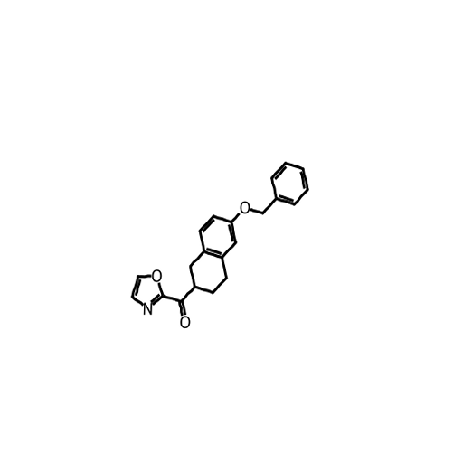 O=C(c1ncco1)C1CCc2cc(OCc3ccccc3)ccc2C1